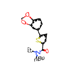 CCCCN(CC)C(=O)c1ccc(-c2ccc3c(c2)OCO3)s1